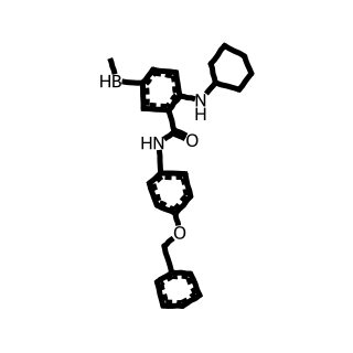 CBc1ccc(NC2CCCCC2)c(C(=O)Nc2ccc(OCc3ccccc3)cc2)c1